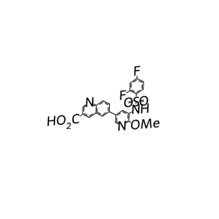 COc1ncc(-c2ccc3ncc(C(=O)O)cc3c2)cc1NS(=O)(=O)c1ccc(F)cc1F